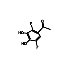 CC(=O)c1cc(F)c(O)c(O)c1F